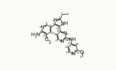 CCc1nc(-c2cnc(N)c(OC)c2)c(-c2ccnc(Nc3ccnc(OC)c3)n2)[nH]1